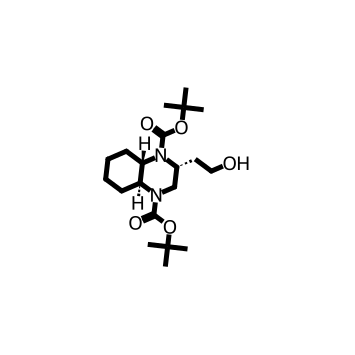 CC(C)(C)OC(=O)N1C[C@@H](CCO)N(C(=O)OC(C)(C)C)[C@H]2CCCC[C@@H]21